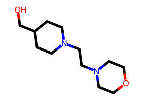 OCC1CCN(CCN2CCOCC2)CC1